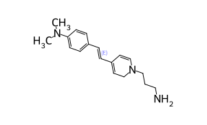 CN(C)c1ccc(/C=C/C2=CCN(CCCN)C=C2)cc1